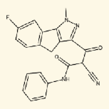 Cn1nc(C(=O)C(C#N)C(=O)Nc2ccccc2)c2c1-c1cc(F)ccc1C2